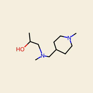 CC(O)CN(C)CC1CCN(C)CC1